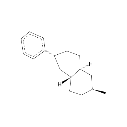 C[C@H]1CC[C@@H]2C[C@H](c3ccccc3)CC[C@H]2C1